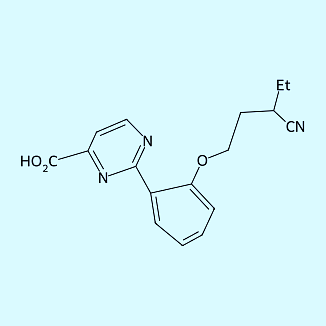 CCC(C#N)CCOc1ccccc1-c1nccc(C(=O)O)n1